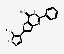 C=C1NC(c2ccccc2)=Nc2cc(-c3cn[nH]c3C)sc21